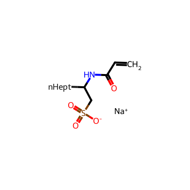 C=CC(=O)NC(CCCCCCC)CS(=O)(=O)[O-].[Na+]